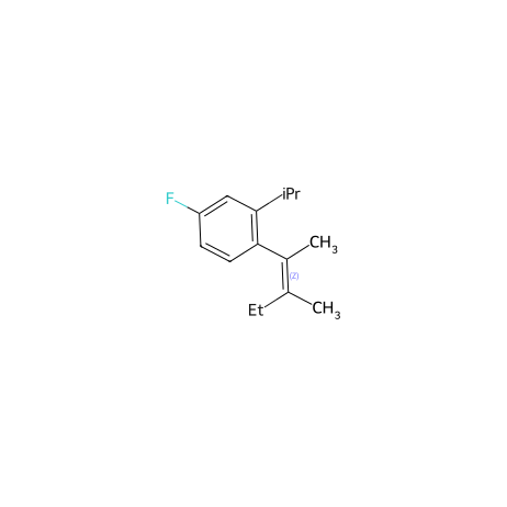 CC/C(C)=C(/C)c1ccc(F)cc1C(C)C